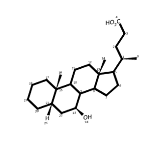 C[C@H](CCC(=O)O)C1CCC2C3C(CC[C@@]21C)[C@@]1(C)CCCC[C@H]1C[C@@H]3O